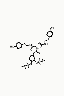 CC(C)(C)[Si](C)(C)Oc1ccc(CC(=O)N(CC(=O)NCCc2ccc(O)cc2)CC(=O)NCCc2ccc(O)cc2)cc1O[Si](C)(C)C(C)(C)C